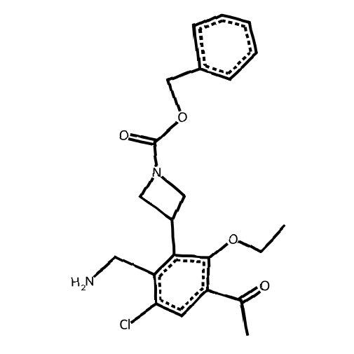 CCOc1c(C(C)=O)cc(Cl)c(CN)c1C1CN(C(=O)OCc2ccccc2)C1